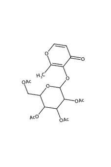 CC(=O)OCC1OC(Oc2c(C)occc2=O)C(OC(C)=O)C(OC(C)=O)C1OC(C)=O